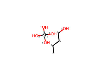 CCCCO.O[Si](O)(O)O